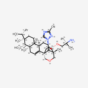 CC(C)[C@@H](C)[C@@]1(C)CC[C@]2(C)[C@H]3CC[C@@H]4[C@@]5(COC[C@@]4(C)[C@@H](OC[C@](C)(N)C(C)C)[C@H](n4cnc(C#N)n4)C5)C3=CC[C@@]2(C)[C@@H]1C(=O)O